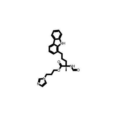 C[C@@](CCCc1cccc2c1[nH]c1ccccc12)(NC=O)C(=O)OCCCn1ccnc1